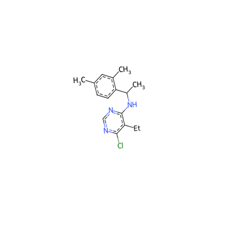 CCc1c(Cl)ncnc1NC(C)c1ccc(C)cc1C